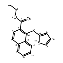 CCOC(=O)c1ccc2ccccc2c1Cc1cccs1